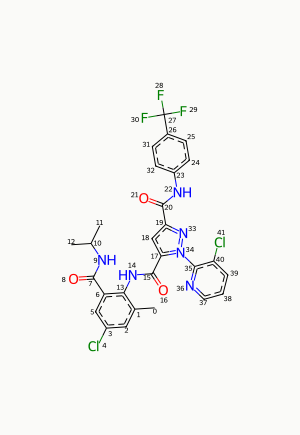 Cc1cc(Cl)cc(C(=O)NC(C)C)c1NC(=O)c1cc(C(=O)Nc2ccc(C(F)(F)F)cc2)nn1-c1ncccc1Cl